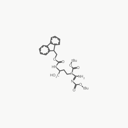 CC(C)(C)OC(=O)N=C(N)N(CCC(NC(=O)OCC1c2ccccc2-c2ccccc21)C(=O)O)C(=O)OC(C)(C)C